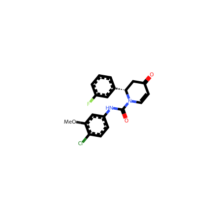 COc1cc(NC(=O)N2C=CC(=O)C[C@H]2c2cccc(F)c2)ccc1Cl